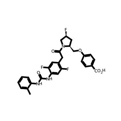 Cc1ccccc1NC(=O)Nc1cc(F)c(CC(=O)N2C[C@@H](F)C[C@H]2COc2ccc(C(=O)O)cc2)cc1F